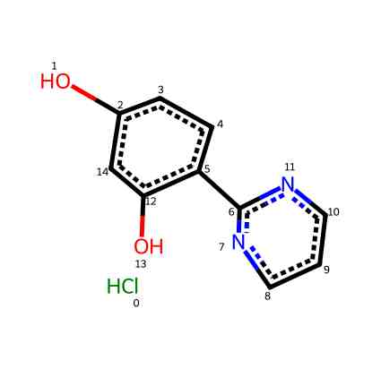 Cl.Oc1ccc(-c2ncccn2)c(O)c1